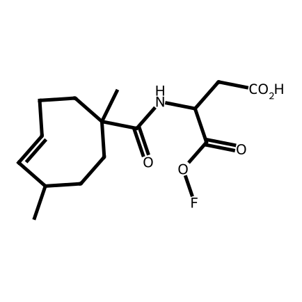 CC1/C=C/CCC(C)(C(=O)NC(CC(=O)O)C(=O)OF)CC1